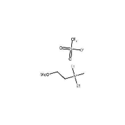 CC[N+](C)(CC)CCOC.O=S(=O)([O-])C(F)(F)F